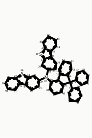 c1ccc(C2(c3ccccc3)c3ccccc3-c3c(N(c4ccc5c(c4)sc4ccccc45)c4ccc5c(c4)sc4ccccc45)cccc32)cc1